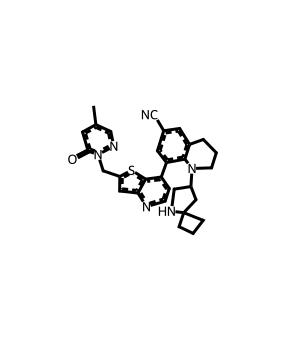 Cc1cnn(Cc2cc3nccc(-c4cc(C#N)cc5c4N(C4CNC6(CCC6)C4)CCC5)c3s2)c(=O)c1